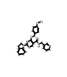 CCOc1ccc(COc2nc(N3CCc4ccccc43)ncc2C(=O)NCc2cccnc2)cc1